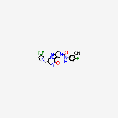 CN1CC(CN2CCC(F)(F)C2)Cn2nc3c(c2C1=O)CN(C(=O)Nc1ccc(F)c(C#N)c1)CC3